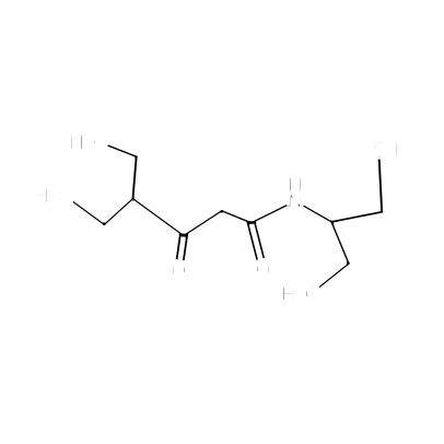 CCC(CC)NC(=O)CC(=O)C(CC)CC